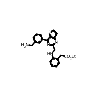 CCOC(=O)Cc1ccccc1NCc1nc(-c2cccc(CN)c2)c2sccc2n1